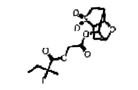 CCC(C)(I)C(=O)OCC(=O)OC1C2CC3C(O2)C1CS3(=O)=O